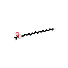 C=CCCCCCCCCCCCCCCCCCOC(=O)C(=C)C